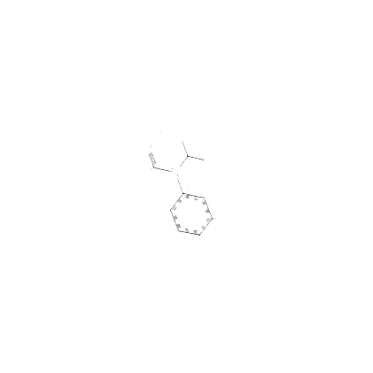 CC(C)N(C=O)c1ccccc1